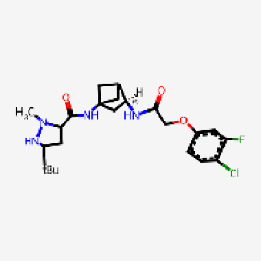 CN1NC(C(C)(C)C)CC1C(=O)NC12CC(C1)[C@@H](NC(=O)COc1ccc(Cl)c(F)c1)C2